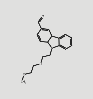 COCCOCCN1c2ccccc2C2C=C(C=O)C=CC21